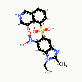 CCn1c(C)nc2cc(S(=O)(=O)c3cccc4cnccc34)c([N+](=O)[O-])cc21